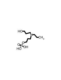 CCCN(CCCO)CCCOP(=O)(O)O